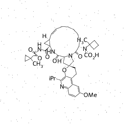 COc1ccc2nc(C(C)C)c3c(c2c1)CC[C@]1(C[C@H]2C(=O)N[C@]4(C(=O)NS(=O)(=O)C5(C)CC5)C[C@H]4/C=C\CCCCC[C@H](N(C(=O)O)C4(C)CCC4)C(=O)N2C1)O3